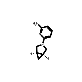 Nc1cccc(N2C[C@H]3C[C@H]3C2)n1